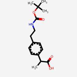 CC(C(=O)O)c1ccc(CCNC(=O)OC(C)(C)C)cc1